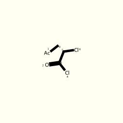 CC(C)=O.O=C(Cl)CCl